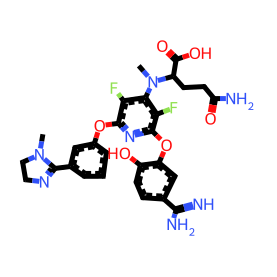 CN1CCN=C1c1cccc(Oc2nc(Oc3cc(C(=N)N)ccc3O)c(F)c(N(C)C(CCC(N)=O)C(=O)O)c2F)c1